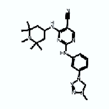 CN1CN(c2cccc(Nc3ncc(C#N)c(NC4CC(C)(C)N(C)C(C)(C)C4)n3)c2)N=N1